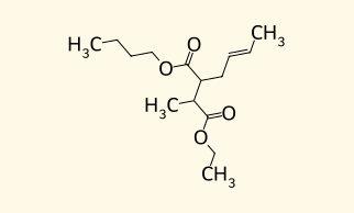 CC=CCC(C(=O)OCCCC)C(C)C(=O)OCC